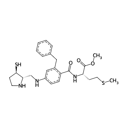 COC(=O)[C@H](CCSC)NC(=O)c1ccc(NC[C@@H]2NCC[C@H]2S)cc1Cc1ccccc1